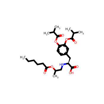 CCCCCC(=O)OC(C)CN[C@@H](Cc1ccc(OC(=O)C(C)C)c(OC(=O)C(C)C)c1)C(=O)O